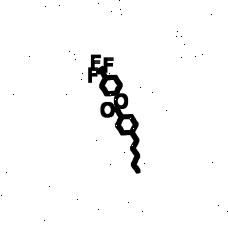 CCCCCC1CCC(C(=O)OC2CCC(C(F)(F)F)CC2)CC1